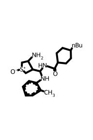 CCCCC1CCC(C(=O)NC(Nc2ccccc2C)C2C[S+]([O-])CC2N)CC1